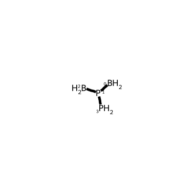 BP(B)P